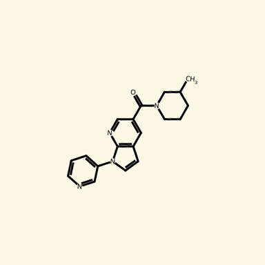 CC1CCCN(C(=O)c2cnc3c(ccn3-c3cccnc3)c2)C1